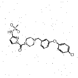 CS(=O)(=O)Nc1ccn(C(=O)N2CCN(Cc3cccc(Oc4ccc(Cl)cc4)c3)CC2)n1